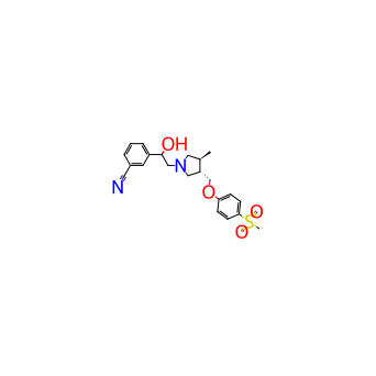 C[C@@H]1CN(C[C@H](O)c2cccc(C#N)c2)C[C@H]1COc1ccc(S(C)(=O)=O)cc1